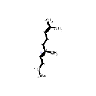 CC(C)=CCC/C(C)=C/COC(C)(C)C